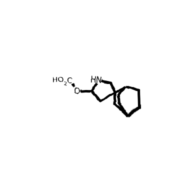 O=C(O)OC1CC2(CN1)CC1CCC2CC1